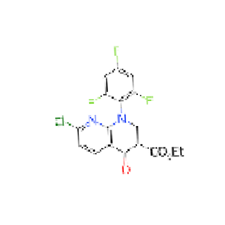 CCOC(=O)c1cn(-c2c(F)cc(F)cc2F)c2nc(Cl)ccc2c1=O